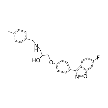 Cc1ccc(CNC[C@H](O)COc2ccc(-c3noc4cc(F)ccc34)cc2)cc1